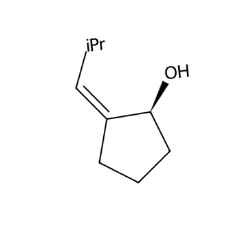 CC(C)/C=C1/CCC[C@@H]1O